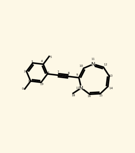 Cc1ccc(C)c(C#Cc2cncccccn2C)c1